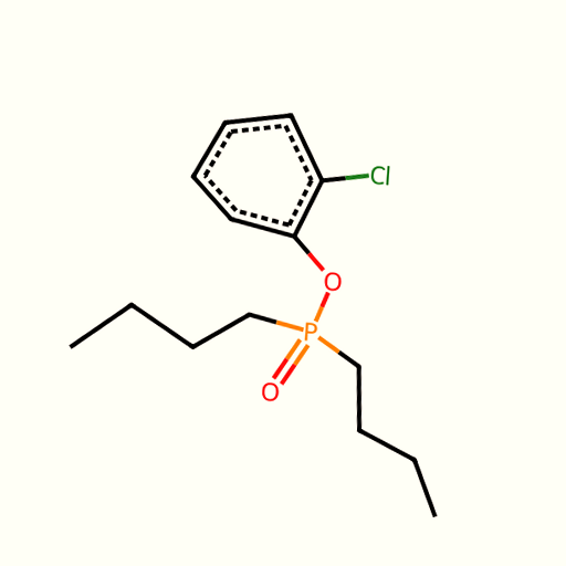 CCCCP(=O)(CCCC)Oc1ccccc1Cl